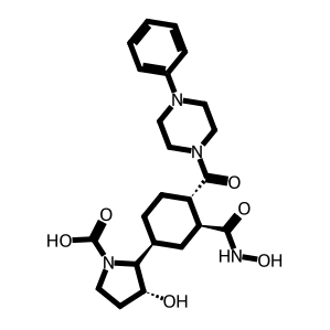 O=C(NO)[C@H]1C[C@@H](C2[C@H](O)CCN2C(=O)O)CC[C@@H]1C(=O)N1CCN(c2ccccc2)CC1